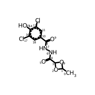 CC1OC(C(=O)NNC(=O)c2cc(Cl)c(O)c(Cl)c2)O1